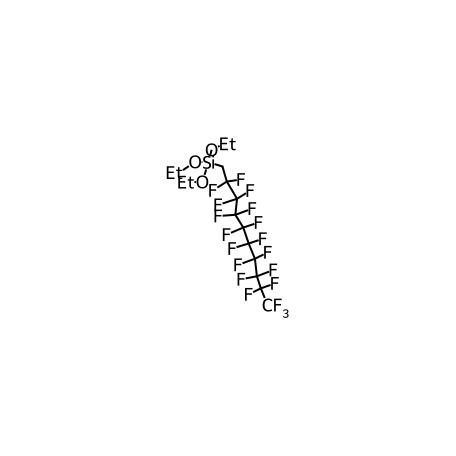 CCO[Si](CC(F)(F)C(F)(F)C(F)(F)C(F)(F)C(F)(F)C(F)(F)C(F)(F)C(F)(F)C(F)(F)F)(OCC)OCC